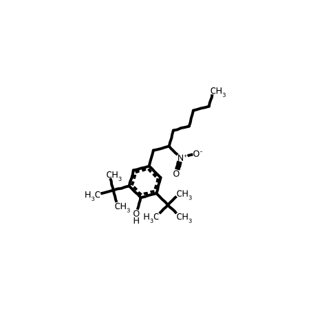 CCCCCC(Cc1cc(C(C)(C)C)c(O)c(C(C)(C)C)c1)[N+](=O)[O-]